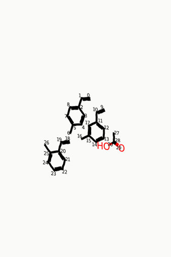 C=Cc1ccc(C)cc1.C=Cc1cccc(C)c1.C=Cc1ccccc1C.CC(=O)O